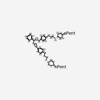 CCCCC[C@H]1CC[C@H](CCCCc2ccc(COC[C@H](OCc3ccc(CCCC[C@H]4CC[C@H](CCCCC)CC4)cc3)c3ccccc3)cc2)CC1